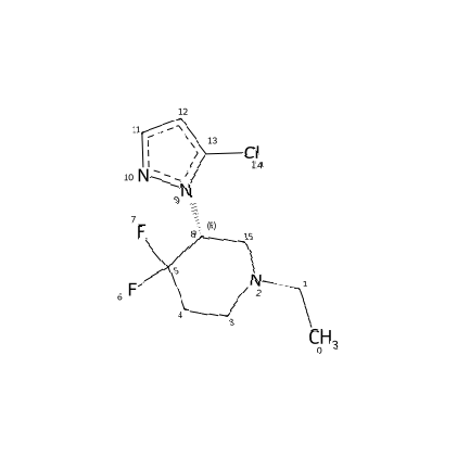 CCN1CCC(F)(F)[C@H](n2nccc2Cl)C1